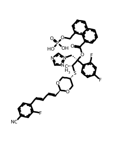 C[C@@H](S[C@H]1CO[C@H](C=CC=Cc2ccc(C#N)cc2F)OC1)[C@@](Cn1cncn1)(OC(=O)c1cccc2cccc(COP(=O)(O)O)c12)c1ccc(F)cc1F